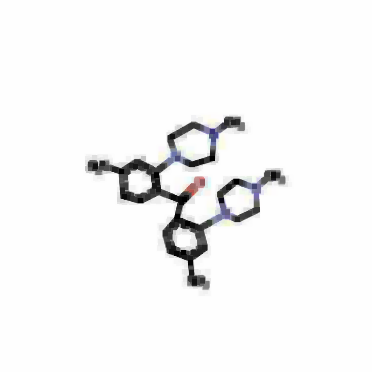 CN1CCN(c2cc([N+](=O)[O-])ccc2C(=O)c2ccc([N+](=O)[O-])cc2N2CCN(C)CC2)CC1